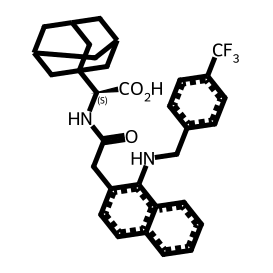 O=C(Cc1ccc2ccccc2c1NCc1ccc(C(F)(F)F)cc1)N[C@H](C(=O)O)C12CC3CC(CC(C3)C1)C2